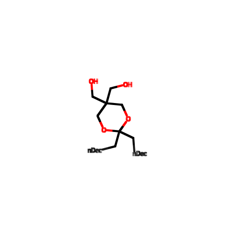 CCCCCCCCCCCC1(CCCCCCCCCCC)OCC(CO)(CO)CO1